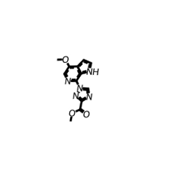 COC(=O)c1ncn(-c2ncc(OC)c3cc[nH]c23)n1